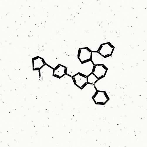 Clc1ccccc1-c1ccc(-c2ccc3c(c2)c2c(-c4ccccc4-c4ccccc4)cccc2n3-c2ccccc2)cc1